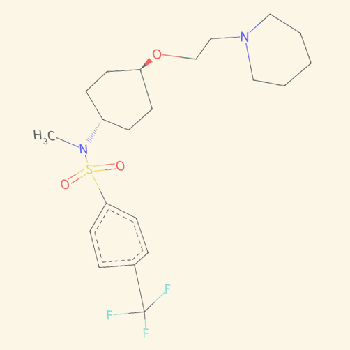 CN([C@H]1CC[C@H](OCCN2CCCCC2)CC1)S(=O)(=O)c1ccc(C(F)(F)F)cc1